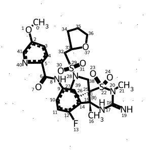 COc1ccc(C(=O)Nc2ccc(F)c([C@@]3(C)NC(=N)N(C)S(=O)(=O)[C@@]34CCN(S(=O)(=O)CC3CCCO3)C4)c2)nc1